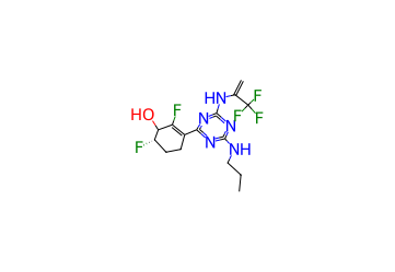 C=C(Nc1nc(NCCC)nc(C2=C(F)C(O)[C@@H](F)CC2)n1)C(F)(F)F